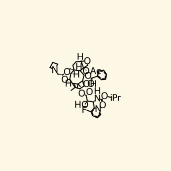 CC(=O)O[C@@]12CO[C@@H]1CC[C@@]1(C)[C@@H]3O[C@H](CN4CCC4)O[C@@H]3C3=C(C)[C@@H](OC(=O)[C@H](O)[C@@H](NC(=O)OC(C)C)c4ncccc4F)C[C@@](O)([C@@H](OC(=O)c4ccccc4)[C@@H]12)C3(C)C